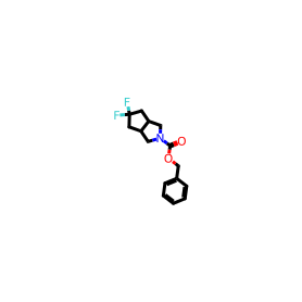 O=C(OCc1ccccc1)N1CC2CC(F)(F)CC2C1